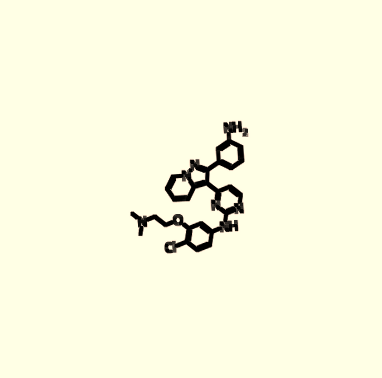 CN(C)CCOc1cc(Nc2nccc(-c3c(-c4cccc(N)c4)nn4ccccc34)n2)ccc1Cl